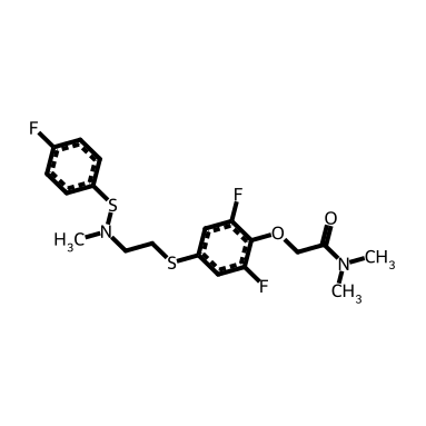 CN(CCSc1cc(F)c(OCC(=O)N(C)C)c(F)c1)Sc1ccc(F)cc1